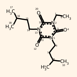 CCn1c(=O)n(CCC(C)C)c(=O)n(CCC(C)C)c1=O